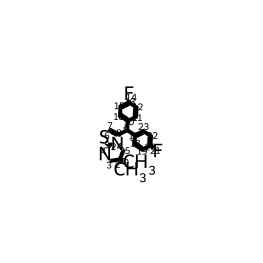 CC1(C)CN=C2SC=C(C(c3ccc(F)cc3)c3ccc(F)cc3)N2C1